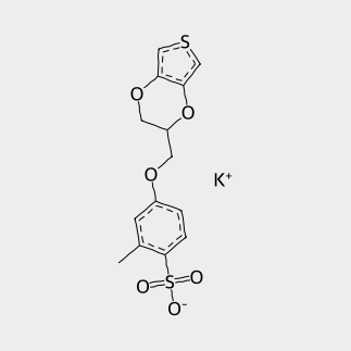 Cc1cc(OCC2COc3cscc3O2)ccc1S(=O)(=O)[O-].[K+]